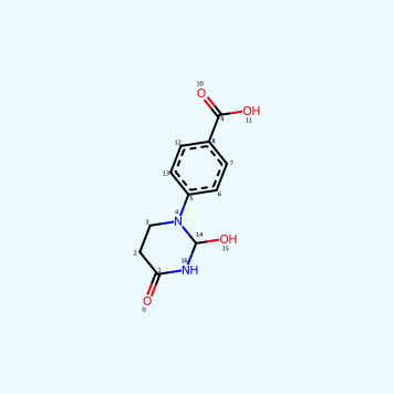 O=C1CCN(c2ccc(C(=O)O)cc2)C(O)N1